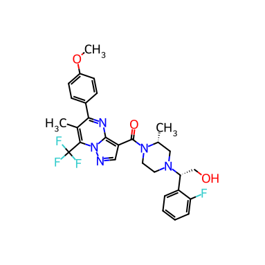 COc1ccc(-c2nc3c(C(=O)N4CCN([C@H](CO)c5ccccc5F)C[C@H]4C)cnn3c(C(F)(F)F)c2C)cc1